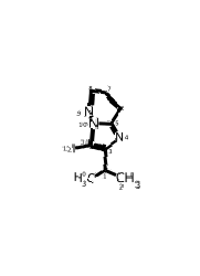 CC(C)c1nc2cccnn2c1I